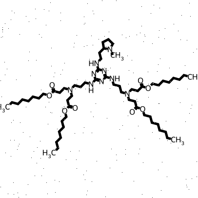 CCCCCCCCOC(=O)CCN(CCCNc1nc(NCCCN(CCC(=O)OCCCCCCCC)CCC(=O)OCCCCCCCC)nc(NCCC2CCCN2C)n1)CCC(=O)OCCCCCCCC